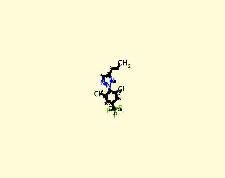 CC=Cc1cnn(-c2c(Cl)cc(C(F)(F)F)cc2Cl)n1